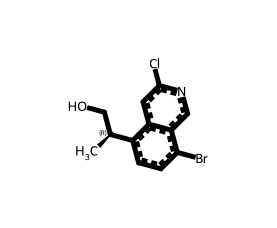 C[C@@H](CO)c1ccc(Br)c2cnc(Cl)cc12